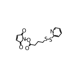 O=C(CCCSSc1ccccn1)ON1C(=O)C=CC1=O